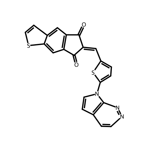 O=C1/C(=C/c2ccc(-n3ccc4ccnnc43)s2)C(=O)c2cc3sccc3cc21